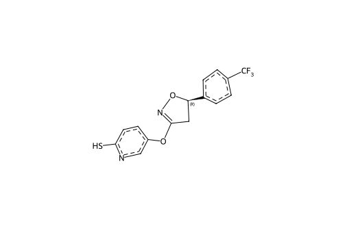 FC(F)(F)c1ccc([C@H]2CC(Oc3ccc(S)nc3)=NO2)cc1